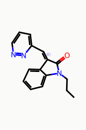 CCCN1C(=O)/C(=C/c2cccnn2)c2ccccc21